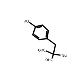 CCCCC([C]=O)([C]=O)Cc1ccc(O)cc1